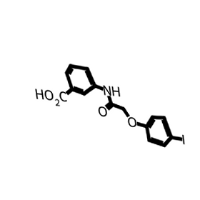 O=C(COc1ccc(I)cc1)Nc1cccc(C(=O)O)c1